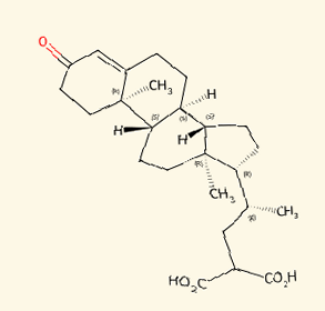 C[C@H](CC(C(=O)O)C(=O)O)[C@H]1CC[C@H]2[C@@H]3CCC4=CC(=O)CC[C@]4(C)[C@H]3CC[C@]12C